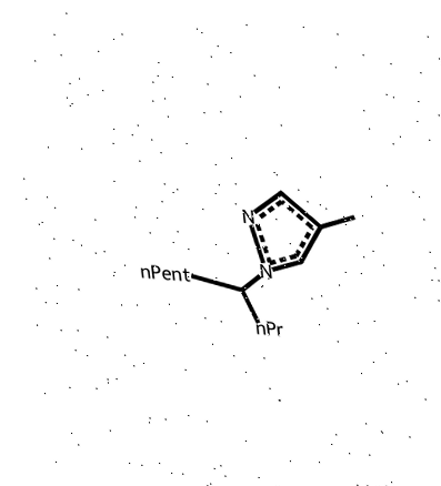 CCCCCC(CCC)n1cc(C)cn1